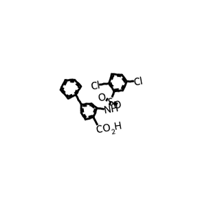 O=C(O)c1ccc(-c2ccccc2)cc1NS(=O)(=O)c1cc(Cl)ccc1Cl